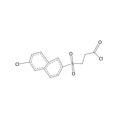 O=C(Cl)CCS(=O)(=O)c1ccc2cc(Cl)ccc2c1